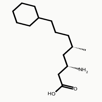 C[C@@H](CCCC1CCCCC1)C[C@H](N)CC(=O)O